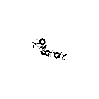 CC(=O)Nc1cccc(Nc2cc3c(ccn3S(=O)(=O)c3ccccc3OC(F)(F)F)cn2)c1